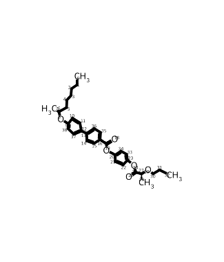 CCCCCCC(C)Oc1ccc(-c2ccc(C(=O)Oc3ccc(OC(=O)[C@H](C)OCCC)cc3)cc2)cc1